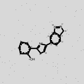 Oc1ccccc1C1=NC(c2ccc3c(c2)N=NC3)=CC1